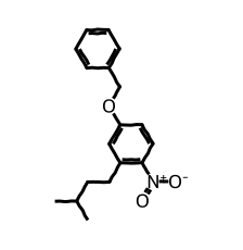 CC(C)CCc1cc(OCc2ccccc2)ccc1[N+](=O)[O-]